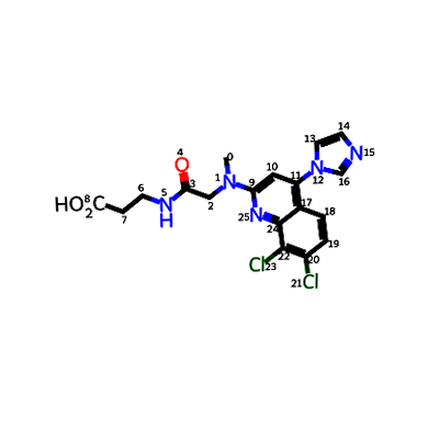 CN(CC(=O)NCCC(=O)O)c1cc(-n2ccnc2)c2ccc(Cl)c(Cl)c2n1